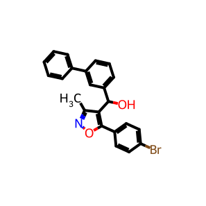 Cc1noc(-c2ccc(Br)cc2)c1C(O)c1cccc(-c2ccccc2)c1